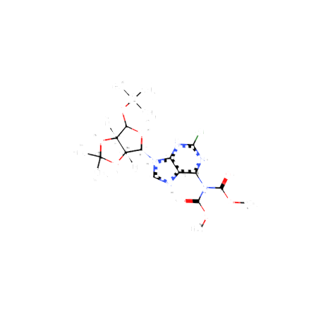 CC(C)(C)OC(=O)N(C(=O)OC(C)(C)C)c1nc(Cl)nc2c1ncn2[C@@H]1OC(O[Si](C)(C)C(C)(C)C)[C@H]2OC(C)(C)O[C@H]21